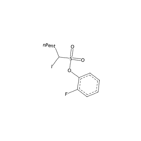 CCCCCC(I)S(=O)(=O)Oc1ccccc1F